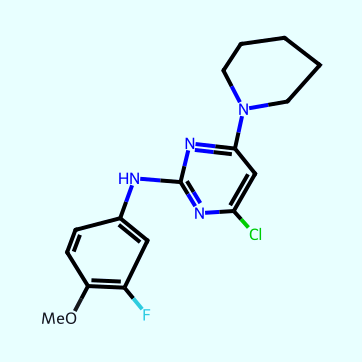 COc1ccc(Nc2nc(Cl)cc(N3CCCCC3)n2)cc1F